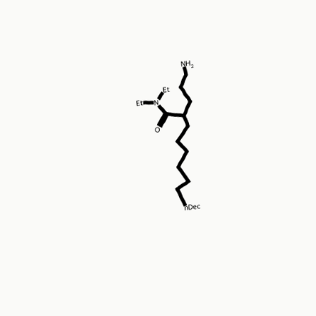 CCCCCCCCCCCCCCCCC(CCCN)C(=O)N(CC)CC